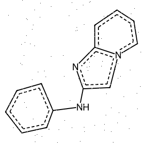 c1ccc(Nc2cn3ccccc3n2)cc1